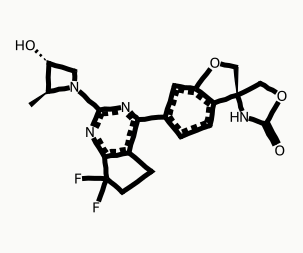 C[C@H]1[C@H](O)CN1c1nc(-c2ccc3c(c2)OC[C@]32COC(=O)N2)c2c(n1)C(F)(F)CC2